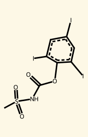 CS(=O)(=O)NC(=O)Oc1c(I)cc(I)cc1I